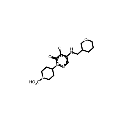 O=C(O)N1CCC(n2ncc(NCC3CCCOC3)c(Cl)c2=O)CC1